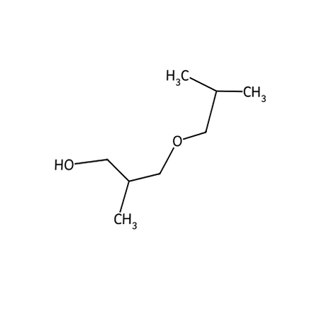 CC(C)COCC(C)CO